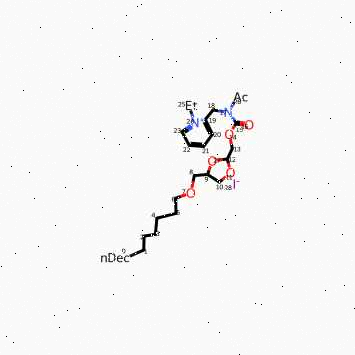 CCCCCCCCCCCCCCCCOCC1COC(COC(=O)N(Cc2cccc[n+]2CC)C(C)=O)O1.[I-]